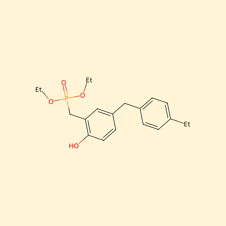 CCOP(=O)(Cc1cc(Cc2ccc(CC)cc2)ccc1O)OCC